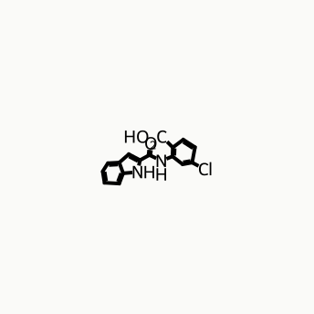 O=C(Nc1cc(Cl)ccc1C(=O)O)c1cc2ccccc2[nH]1